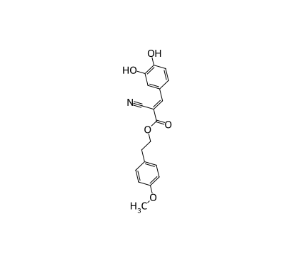 COc1ccc(CCOC(=O)/C(C#N)=C/c2ccc(O)c(O)c2)cc1